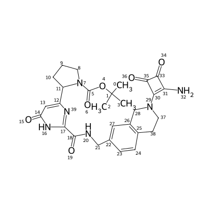 CC(C)(C)OC(=O)N1CCCC1c1cc(=O)[nH]c(C(=O)NCc2ccc3c(c2)CN(c2c(N)c(=O)c2=O)CC3)n1